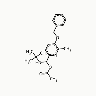 CC(=O)OC(NC(C)(C)C)c1ccc(OCc2ccccc2)c(C)n1